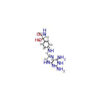 NC1=NC2=C(N=C(CNc3ccc(C4(O)CNC4=O)cc3)CN2)C(N)N1